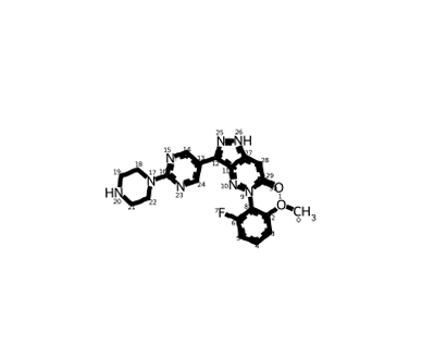 COc1cccc(F)c1-n1nc2c(-c3cnc(N4CCNCC4)nc3)n[nH]c2cc1=O